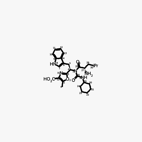 Cc1oc([C@@H](Cc2c[nH]c3ccccc23)N(C(=O)NC2CCCCC2)C(=O)[C@@H](N)CC(C)C)nc1C(=O)O